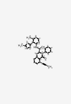 CC#Cc1cccc2nc(C(C)Nc3ncnc(N)c3-c3nnc(C)o3)n(-c3ccccc3)c(=O)c12